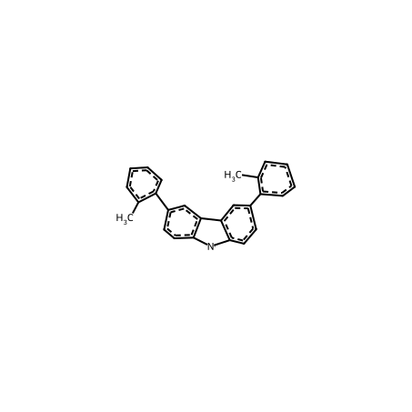 Cc1ccccc1-c1ccc2c(c1)-c1cc(-c3ccccc3C)ccc1[N]2